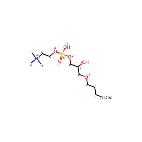 CCCCCCCCCCCCCOCC(O)COP(=O)(O)OCC[N+](C)(C)C